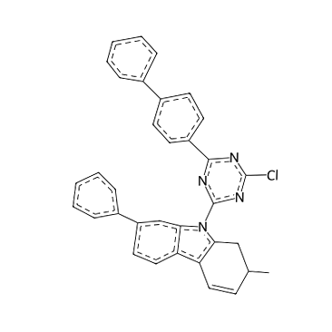 CC1C=Cc2c(n(-c3nc(Cl)nc(-c4ccc(-c5ccccc5)cc4)n3)c3cc(-c4ccccc4)ccc23)C1